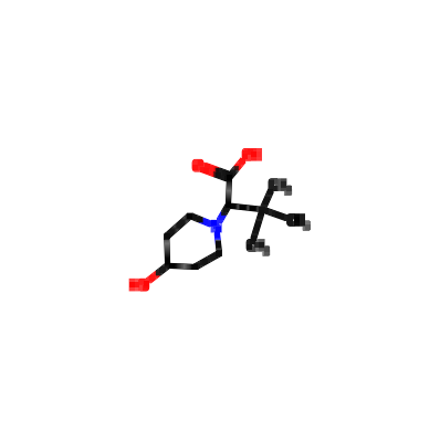 CC(C)(C)C(C(=O)O)N1CCC(O)CC1